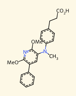 COc1nc(OC)c(N(C)c2ccc(CCC(=O)O)cc2)cc1-c1ccccc1